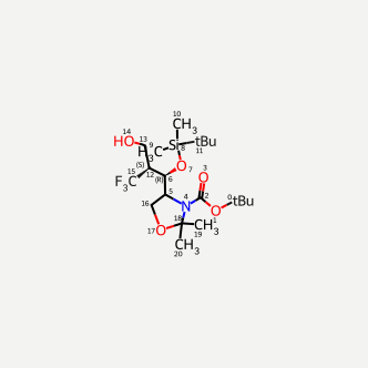 CC(C)(C)OC(=O)N1C([C@H](O[Si](C)(C)C(C)(C)C)[C@H](CO)C(F)(F)F)COC1(C)C